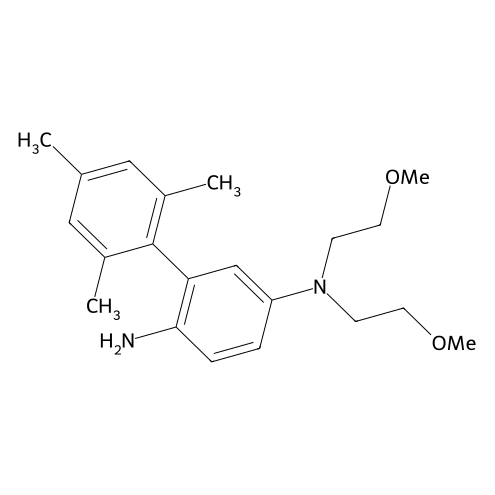 COCCN(CCOC)c1ccc(N)c(-c2c(C)cc(C)cc2C)c1